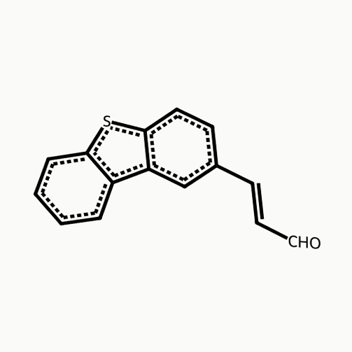 O=CC=Cc1ccc2sc3ccccc3c2c1